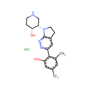 Cc1cc(C(F)(F)F)cc(O)c1-c1cc2c(nn1)N([C@H]1CNCC[C@H]1O)CC2.Cl